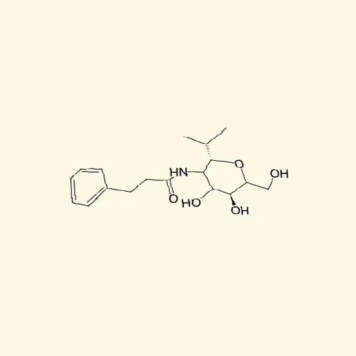 CC(C)[C@@H]1OC(CO)[C@@H](O)C(O)C1NC(=O)CCc1ccccc1